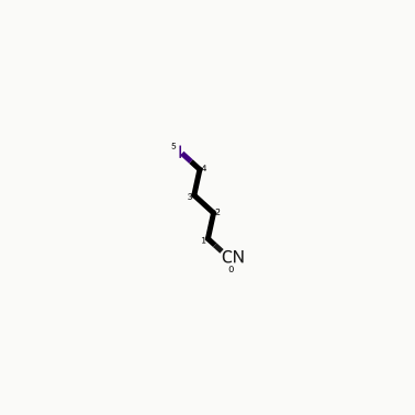 N#CCCCCI